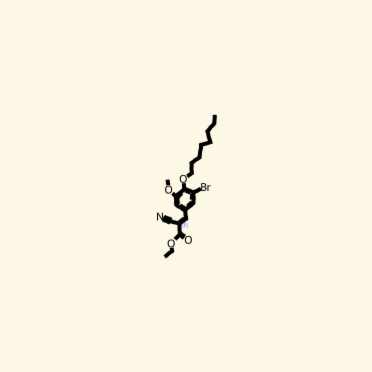 CCCCCCCCOc1c(Br)cc(/C=C(\C#N)C(=O)OCC)cc1OC